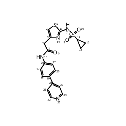 O=C(Cc1csc(NS(=O)(=O)C2CC2)n1)Nc1ccc(-c2ccncc2)cc1